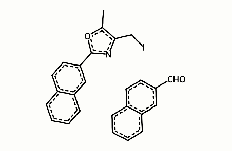 Cc1oc(-c2ccc3ccccc3c2)nc1CI.O=Cc1ccc2ccccc2c1